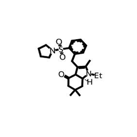 CCN1C(C)=C(Cc2ccccc2S(=O)(=O)N2CCCC2)C2C(=O)CC(C)(C)C[C@@H]21